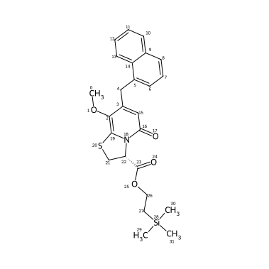 COc1c(Cc2cccc3ccccc23)cc(=O)n2c1SC[C@H]2C(=O)OCC[Si](C)(C)C